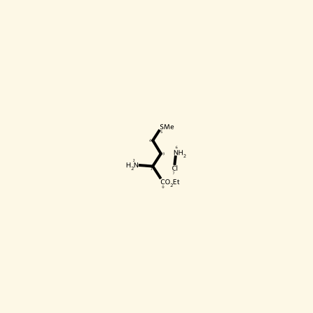 CCOC(=O)C(N)CCSC.NCl